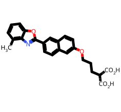 Cc1cccc2oc(-c3ccc4cc(OCCCC(C(=O)O)C(=O)O)ccc4c3)nc12